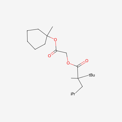 CC(C)CC(C)(C(=O)OCC(=O)OC1(C)CCCCC1)C(C)(C)C